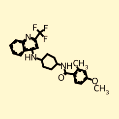 COc1ccc(C(=O)NC2CCC(Nc3cc(C(F)(F)F)nc4ccccc34)CC2)c(C)c1